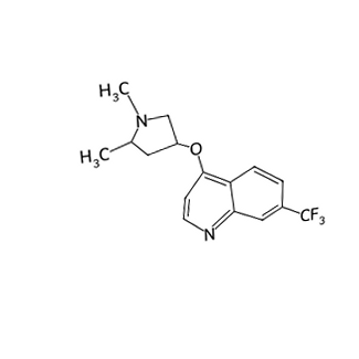 CC1CC(Oc2ccnc3cc(C(F)(F)F)ccc23)CN1C